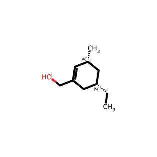 CC[C@@H]1CC(CO)=C[C@H](C)C1